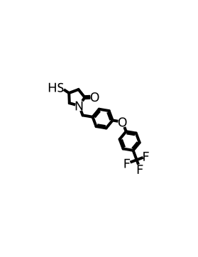 O=C1CC(S)CN1Cc1ccc(Oc2ccc(C(F)(F)F)cc2)cc1